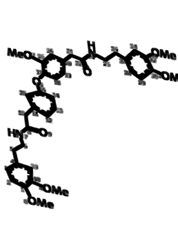 COc1ccc(CCNC(=O)Cc2cccc(Oc3ccc(CC(=O)NCCc4ccc(OC)c(OC)c4)cc3OC)c2)cc1OC